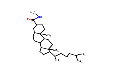 CNC(=O)C1CCC2(C)C(CCC3C2CCC2(C)C(C(C)CCCC(C)C)CCC32)C1